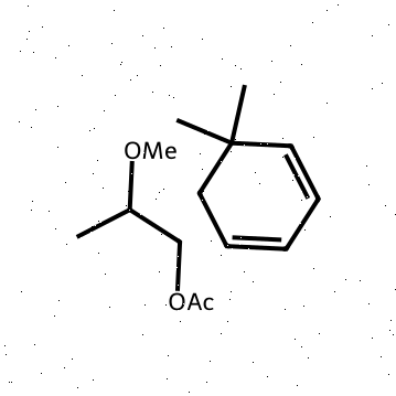 CC1(C)C=CC=CC1.COC(C)COC(C)=O